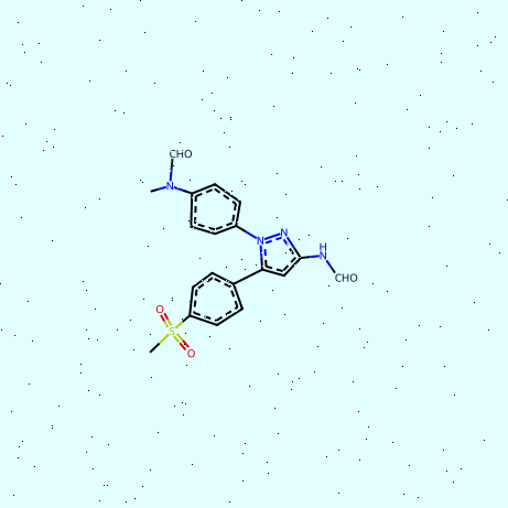 CN(C=O)c1ccc(-n2nc(NC=O)cc2-c2ccc(S(C)(=O)=O)cc2)cc1